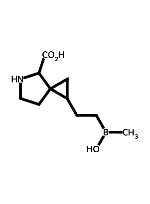 CB(O)CCC1CC12CCNC2C(=O)O